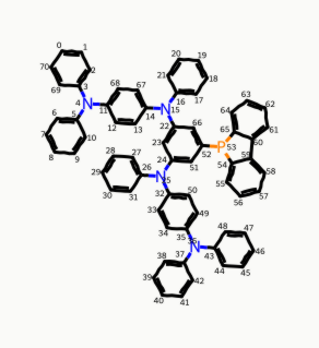 c1ccc(N(c2ccccc2)c2ccc(N(c3ccccc3)c3cc(N(c4ccccc4)c4ccc(N(c5ccccc5)c5ccccc5)cc4)cc(-p4c5ccccc5c5ccccc54)c3)cc2)cc1